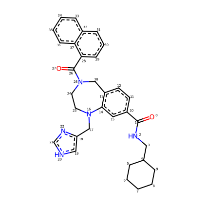 O=C(NCC1CCCCC1)c1ccc2c(c1)N(Cc1c[nH]cn1)CCN(C(=O)c1cccc3ccccc13)C2